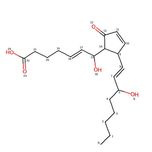 CCCCCC(O)C=CC1C=CC(=O)C1C(O)C=CCCCC(=O)O